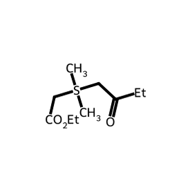 CCOC(=O)CS(C)(C)CC(=O)CC